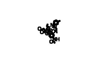 CCON(C1COC(=O)C1)S(=O)(=O)c1ccc(NC(C)=O)cc1O[C@H](C)Cn1cnc2ccc(C)cc21